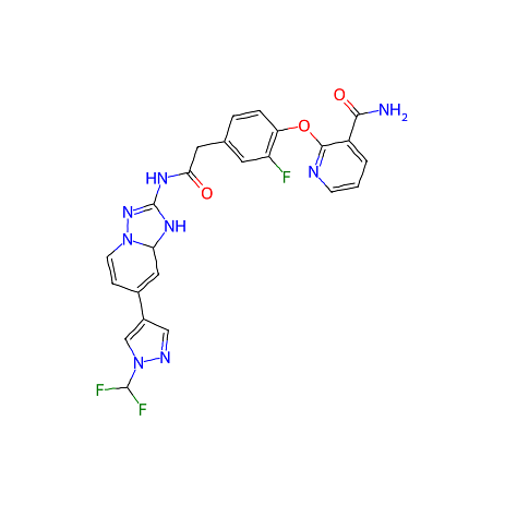 NC(=O)c1cccnc1Oc1ccc(CC(=O)NC2=NN3C=CC(c4cnn(C(F)F)c4)=CC3N2)cc1F